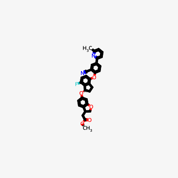 COC(=O)CC1COc2cc(O[C@@H]3CCc4c(Oc5ccc(-c6cccc(C)n6)cc5C#N)ccc(F)c43)ccc21